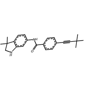 CC(C)(C)C#Cc1ccc(C(=O)Nc2ccc3c(c2)NCC3(C)C)cc1